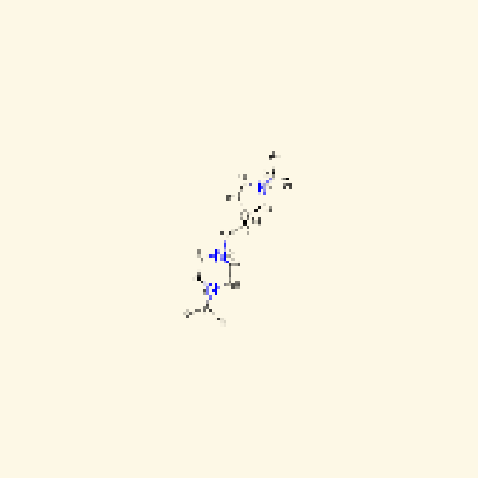 CC(C)N1CCN(CC[C@H]2CCN(C(C)C)C2)CC1